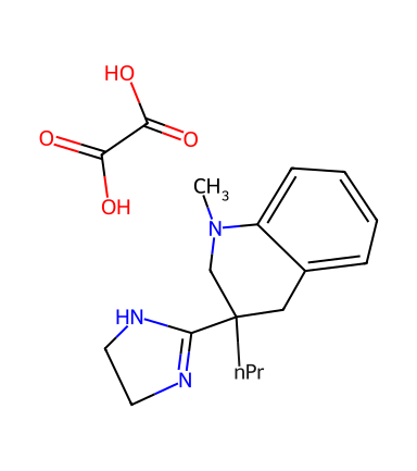 CCCC1(C2=NCCN2)Cc2ccccc2N(C)C1.O=C(O)C(=O)O